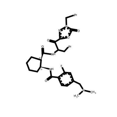 CC(C)CC(NC(=O)[C@@H]1CCCC[C@@H]1NC(=O)c1ccc(CN(C)C)cc1F)C(=O)c1nn(CC(C)C)c(=O)o1